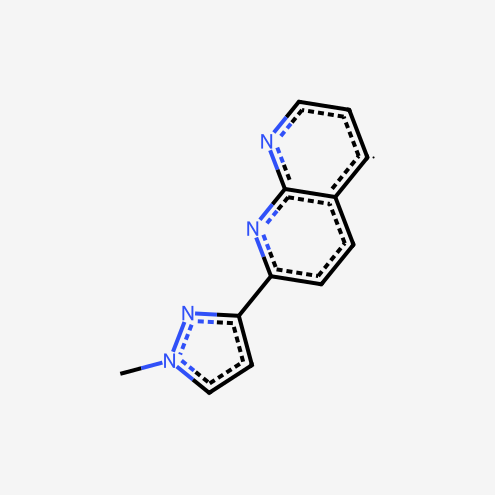 Cn1ccc(-c2ccc3[c]ccnc3n2)n1